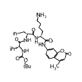 Cc1cc(=O)oc2cc(NC(=O)[C@H](CCCCN)NC(=O)[C@H](CC(C)C)NC(=O)[C@@H](NC(=O)OC(C)(C)C)C(C)C)ccc12